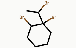 CC(Br)C1(Br)CCCCC1Br